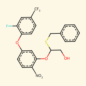 O=[N+]([O-])c1ccc(Oc2ccc(C(F)(F)F)cc2F)cc1OC(CO)SCc1ccccc1